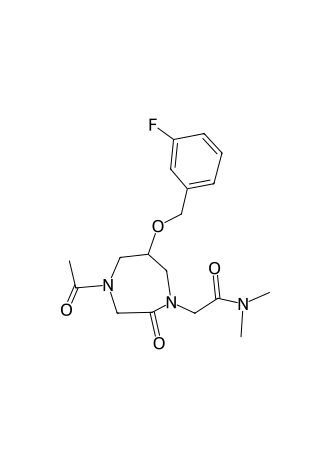 CC(=O)N1CC(=O)N(CC(=O)N(C)C)CC(OCc2cccc(F)c2)C1